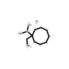 NCC1(N(O)O)CCCCCCC1.[Pt]